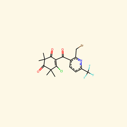 CC1(C)C(=O)C(C(=O)c2ccc(C(F)(F)F)nc2CBr)=C(Cl)C(C)(C)C1=O